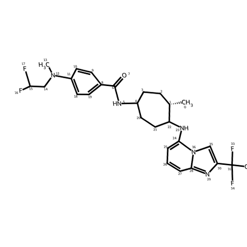 C[C@H]1CCC(NC(=O)c2ccc(N(C)CC(F)F)cc2)CCC1Nc1cccc2nc(C(C)(F)F)cn12